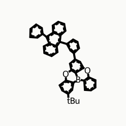 CC(C)(C)c1ccc2c(c1)B1c3ccccc3Oc3cc(-c4cccc(-c5c6ccccc6c(-c6ccccc6)c6ccccc56)c4)cc(c31)O2